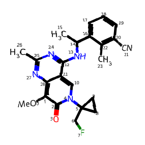 COc1c(=O)n(C2(CF)CC2)cc2c(NC(C)c3cccc(C#N)c3C)nc(C)nc12